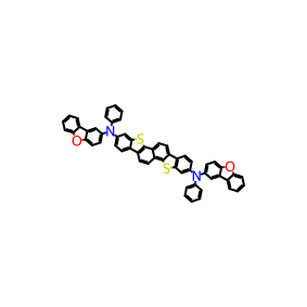 c1ccc(N(c2ccc3c(c2)sc2c3ccc3c2ccc2c4ccc(N(c5ccccc5)c5ccc6oc7ccccc7c6c5)cc4sc23)c2ccc3oc4ccccc4c3c2)cc1